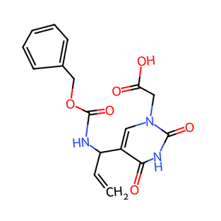 C=CC(NC(=O)OCc1ccccc1)c1cn(CC(=O)O)c(=O)[nH]c1=O